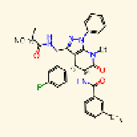 CCN1C(=O)[C@H](NC(=O)c2cccc(C(F)(F)F)c2)[C@H](c2ccc(F)cc2)c2c(CNC(=O)[C@@H](C)C#N)nn(-c3ccccc3)c21